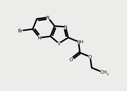 CCOC(=O)Nc1nc2ncc(Br)nc2s1